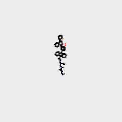 C\C=C/C=C(C)/C(C)=C/C(=C/C=C(\C)c1c2ccccc2c(-c2ccc3oc4c5sc6ccccc6c5c5ccccc5c4c3c2)c2ccccc12)CC